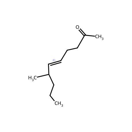 CCCC(C)/C=C/CCC(C)=O